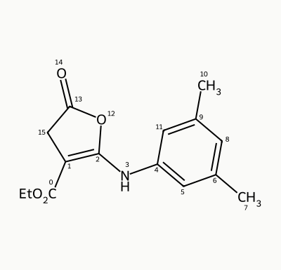 CCOC(=O)C1=C(Nc2cc(C)cc(C)c2)OC(=O)C1